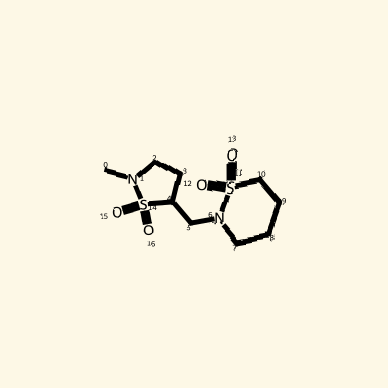 CN1CCC(CN2CCCCS2(=O)=O)S1(=O)=O